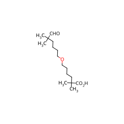 CC(C)(C=O)CCCCOCCCCC(C)(C)C(=O)O